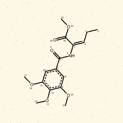 CCC=C(NC(=O)c1cc(OC)c(OC)c(OC)c1)C(=O)OC